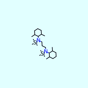 CC1CCCC(C)C1N(CCCN(C1C(C)CCCC1C)[Si](C)(C)C)[Si](C)(C)C